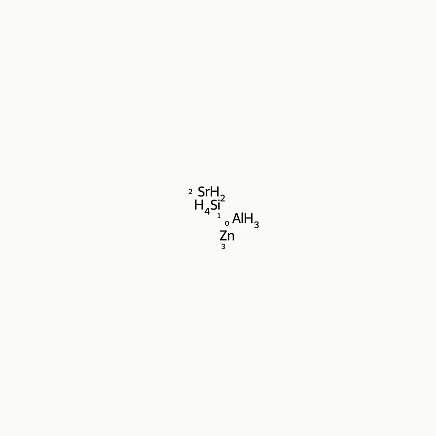 [AlH3].[SiH4].[SrH2].[Zn]